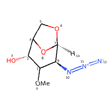 COC1[C@H](O)C2CO[C@H](O2)[C@H]1N=[N+]=[N-]